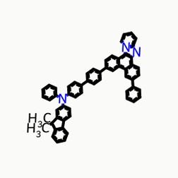 CC1(C)c2ccccc2-c2ccc(N(c3ccccc3)c3ccc(-c4ccc(-c5ccc6c(c5)c5cc(-c7ccccc7)ccc5c5nc7ccccn7c65)cc4)cc3)cc21